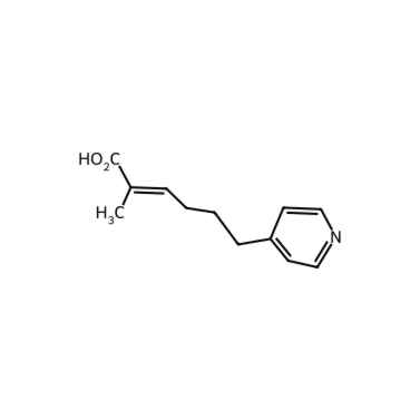 CC(=CCCCc1ccncc1)C(=O)O